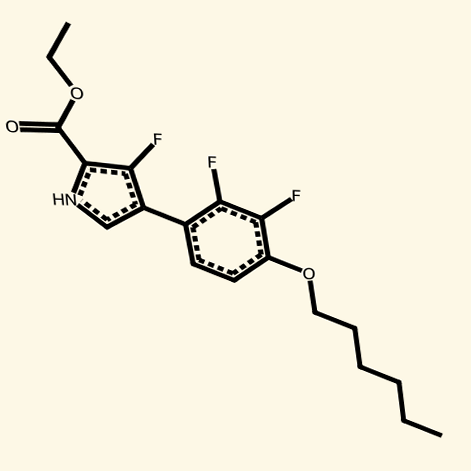 CCCCCCOc1ccc(-c2c[nH]c(C(=O)OCC)c2F)c(F)c1F